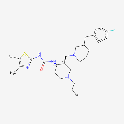 CC(=O)CCN1CC[C@@H](NC(=O)Nc2nc(C)c(C(C)=O)s2)[C@@H](CN2CCCC(Cc3ccc(F)cc3)C2)C1